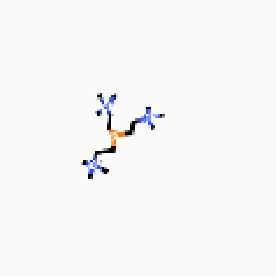 C[N+](C)(C)CCP(CC[N+](C)(C)C)CC[N+](C)(C)C